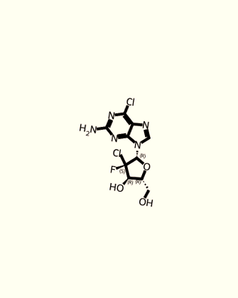 Nc1nc(Cl)c2ncn([C@@H]3O[C@H](CO)[C@@H](O)[C@]3(F)Cl)c2n1